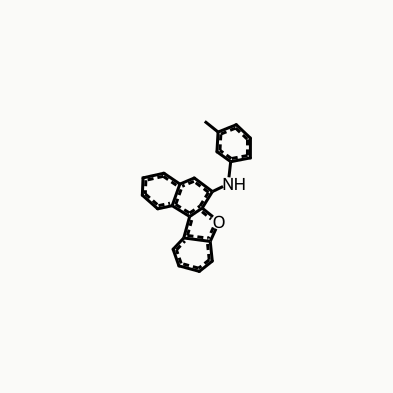 Cc1cccc(Nc2cc3ccccc3c3c2oc2ccccc23)c1